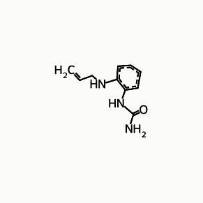 C=CCNc1ccccc1NC(N)=O